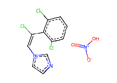 Cl/C(=C/n1ccnc1)c1c(Cl)cccc1Cl.O=[N+]([O-])O